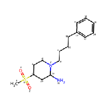 CS(=O)(=O)[C]1CCN(CCCCc2ccccc2)C(N)C1